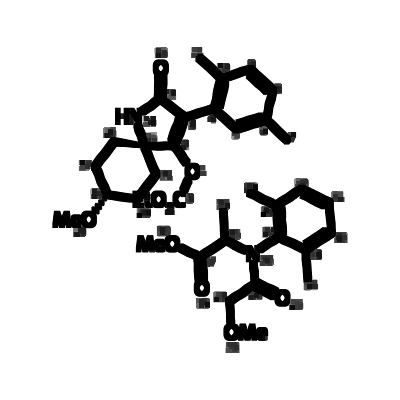 CCOC(=O)OC1=C(c2cc(C)ccc2C)C(=O)N[C@]12CC[C@@H](OC)CC2.COCC(=O)N(c1c(C)cccc1C)C(C)C(=O)OC